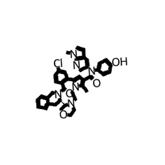 Cc1c(C(=O)N(c2ccc(O)cc2)c2cnc3c(ccn3C)c2)cc(-c2cc(Cl)ccc2C(=O)N2Cc3ccccc3C[C@H]2C)n1CCN1CCOCC1